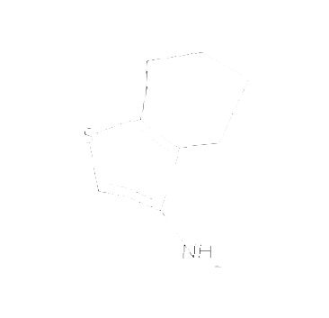 Nc1[c]sc2c1CCCC2